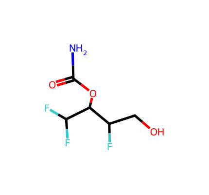 NC(=O)OC(C(F)F)C(F)CO